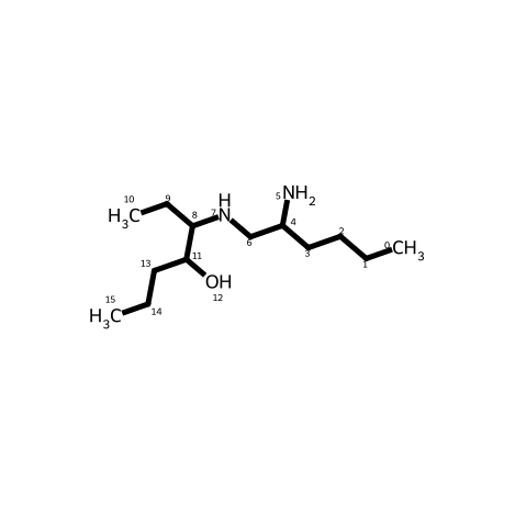 CCCCC(N)CNC(CC)C(O)CCC